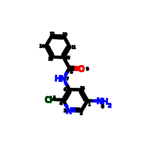 Nc1cnc(Cl)c(NC(=O)c2ccccc2)c1